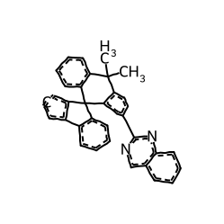 CC1(C)c2ccccc2C2(c3ccccc3-c3ccccc32)c2cc(-c3ncc4ccccc4n3)ccc21